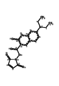 CCN(CC)c1ccc2cc(C(=O)ON3C(=O)C=CC3=O)c(=O)oc2c1